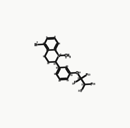 CN1c2cccc(Br)c2CCC1c1cccc(OC(F)(F)C(F)F)c1